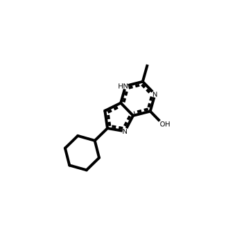 Cc1nc(O)c2nc(C3CCCCC3)cc-2[nH]1